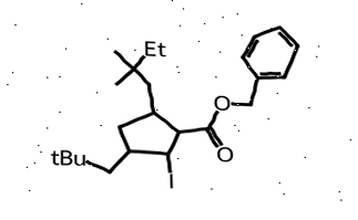 CCC(C)(C)CC1CC(CC(C)(C)C)C(I)C1C(=O)OCc1ccccc1